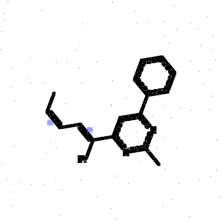 C/C=C\C=C(\c1cc(-c2ccccc2)nc(C)n1)C(C)C